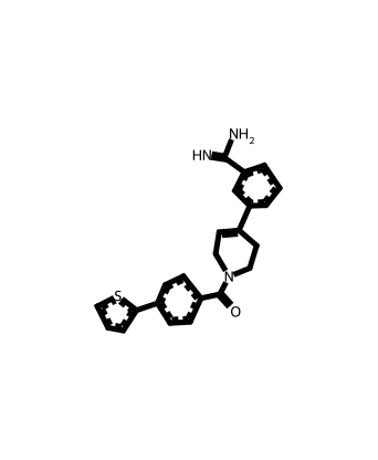 N=C(N)c1cccc(C2=CCN(C(=O)c3ccc(-c4cccs4)cc3)CC2)c1